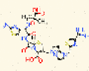 CC(C)(O/N=C(\C(=O)N[C@@H]1C(=O)N2C(C(=O)O)=C(C[n+]3ccc4n(Cc5nc(C(=N)N)cs5)ccn43)CS[C@H]12)c1csc(N)n1)C(=O)O